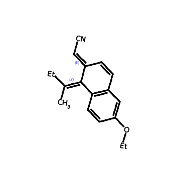 CCOc1ccc2c(=C(\C)CC)/c(=C/C#N)ccc2c1